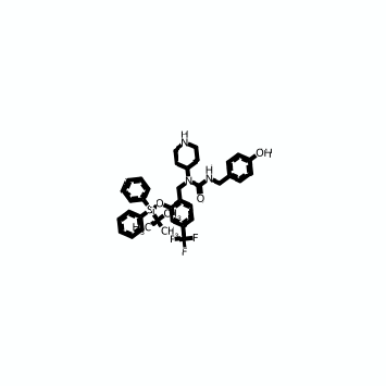 CC(C)(C)[Si](Oc1cc(C(F)(F)F)ccc1CN(C(=O)NCc1ccc(O)cc1)C1CCNCC1)(c1ccccc1)c1ccccc1